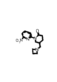 O=C1CCC(CN2CCC2)CN1c1cccc([N+](=O)[O-])n1